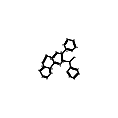 CC(c1ccccc1)c1nc2c(ccc3ccccc32)cc1-c1ccccc1